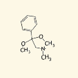 C[N]CC(OC)(OC)c1ccccc1